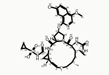 CC[C@@H]1C[C@H](C)CC/C=C\[C@@H]2C[C@@]2(C(=O)NS(=O)(=O)C2CC2)NC(=O)[C@@H]2C[C@@H](Oc3ncc(OC)c4ccc(Cl)cc34)CN2C(=O)[C@H]1NC(=O)O